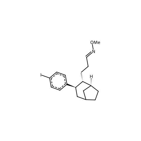 CON=CCC[C@@H]1[C@H]2CCC(C2)C[C@H]1c1ccc(I)cc1